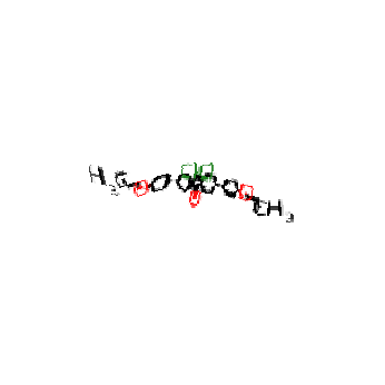 CCCO[C@H]1CC[C@H](C2CCC3(CC2)C(=O)C2(CCC([C@H]4CC[C@H](OCCC)CC4)CC2)C3(Cl)Cl)CC1